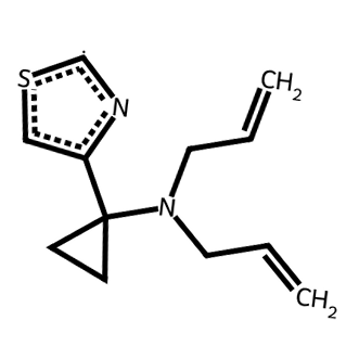 C=CCN(CC=C)C1(c2cs[c]n2)CC1